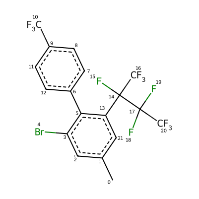 Cc1[c]c(Br)c(-c2ccc(C(F)(F)F)cc2)c(C(F)(C(F)(F)F)C(F)(F)C(F)(F)F)c1